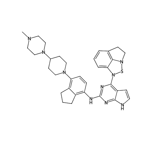 CN1CCN(C2CCN(c3ccc(Nc4nc(N5SN6CCc7cccc5c76)c5cc[nH]c5n4)c4c3CCC4)CC2)CC1